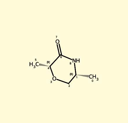 C[C@@H]1CO[C@H](C)C(=O)N1